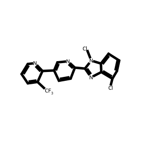 FC(F)(F)c1cccnc1-c1ccc(-c2nc3c(Cl)cccc3n2Cl)nc1